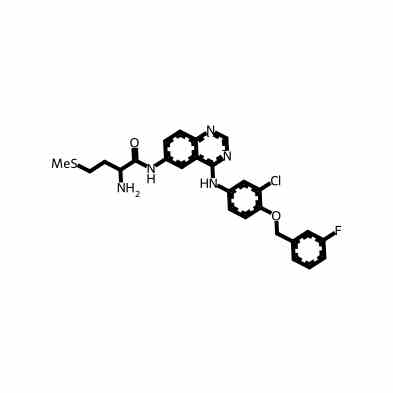 CSCCC(N)C(=O)Nc1ccc2ncnc(Nc3ccc(OCc4cccc(F)c4)c(Cl)c3)c2c1